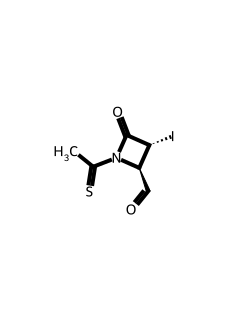 CC(=S)N1C(=O)[C@H](I)[C@H]1C=O